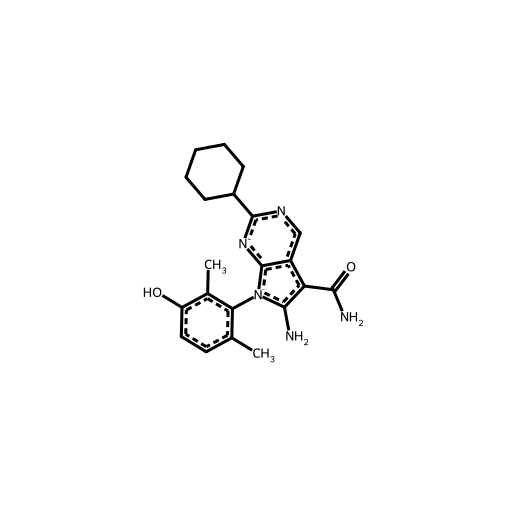 Cc1ccc(O)c(C)c1-n1c(N)c(C(N)=O)c2cnc(C3CCCCC3)nc21